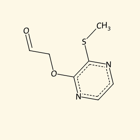 CSc1nccnc1OCC=O